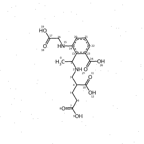 CC(NCC(CCC(=O)O)C(=O)O)c1c(NCC(=O)O)cccc1C(=O)O